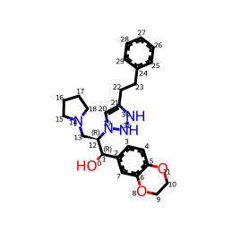 O[C@H](c1ccc2c(c1)OCCO2)[C@@H](CN1CCCC1)N1C=C(CCc2ccccc2)NN1